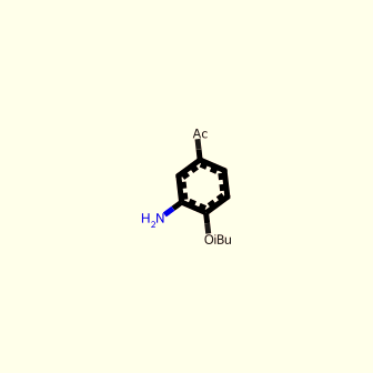 CC(=O)c1ccc(OCC(C)C)c(N)c1